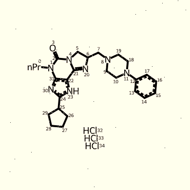 CCCN1C(=O)N2CC(CN3CCN(c4ccccc4)CC3)N=C2c2[nH]c(C3CCCC3)nc21.Cl.Cl.Cl